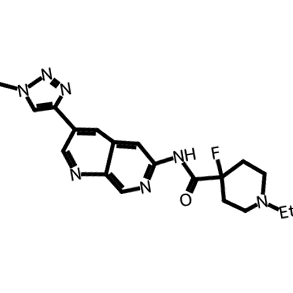 CCN1CCC(F)(C(=O)Nc2cc3cc(-c4cn(C)nn4)cnc3cn2)CC1